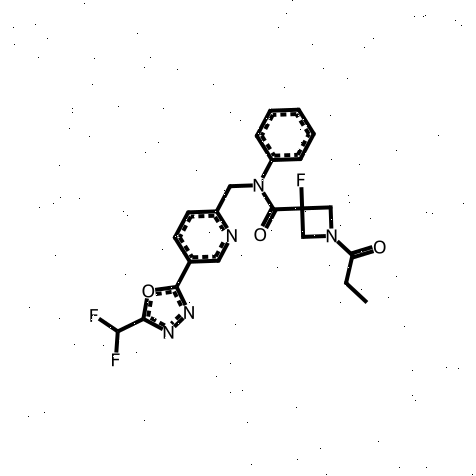 CCC(=O)N1CC(F)(C(=O)N(Cc2ccc(-c3nnc(C(F)F)o3)cn2)c2ccccc2)C1